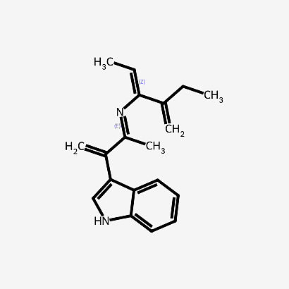 C=C(CC)C(=C/C)/N=C(\C)C(=C)c1c[nH]c2ccccc12